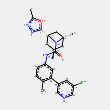 Cc1nnc([C@]23C[C@H](C)C[C@H](C2)N3C(=O)Nc2ccc(C(F)(F)F)c(-c3cncc(F)c3)c2)o1